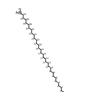 CCCCCCCCCCCCCCCCCCCCCCCCCCCCCCCCCNC